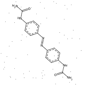 NC(=O)Nc1ccc(/N=N/c2ccc(NC(N)=O)cc2)cc1